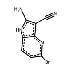 N#Cc1c(N)[nH]c2ccc(Br)nc12